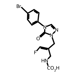 O=C(O)NCC(=CF)Cn1ncn(-c2ccc(Br)cc2)c1=O